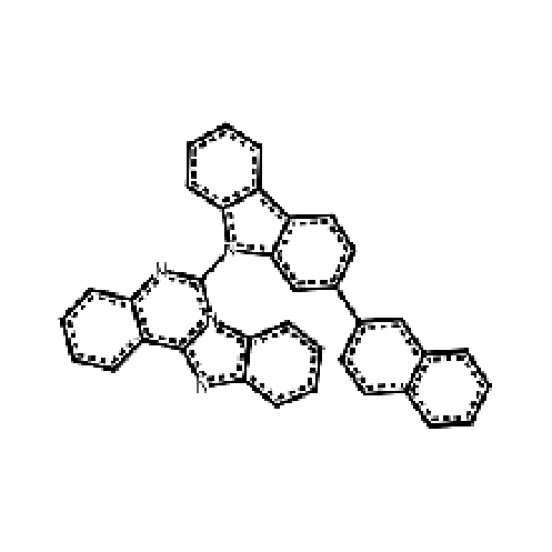 c1ccc2cc(-c3ccc4c5ccccc5n(-c5nc6ccccc6c6nc7ccccc7n56)c4c3)ccc2c1